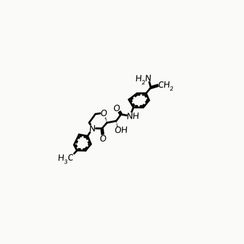 C=C(N)c1ccc(NC(=O)[C@H](O)[C@H]2OCCN(c3ccc(C)cc3)C2=O)cc1